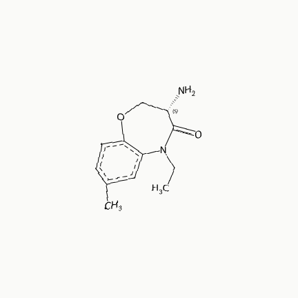 CCN1C(=O)[C@@H](N)COc2ccc(C)cc21